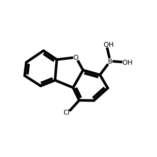 OB(O)c1ccc(Cl)c2c1oc1ccccc12